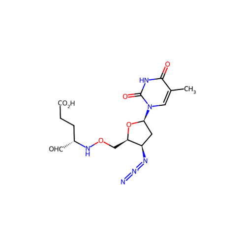 Cc1cn([C@H]2C[C@@H](N=[N+]=[N-])[C@@H](CON[C@H](C=O)CCC(=O)O)O2)c(=O)[nH]c1=O